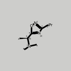 CC(C)c1noc([C@H](C)N(C)C)n1